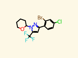 FC(F)(F)c1cc(-c2ccc(Cl)cc2Br)nn1C1CCCCO1